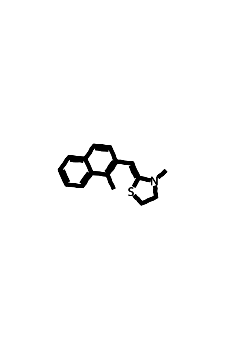 Cc1c(C=C2SCCN2C)ccc2ccccc12